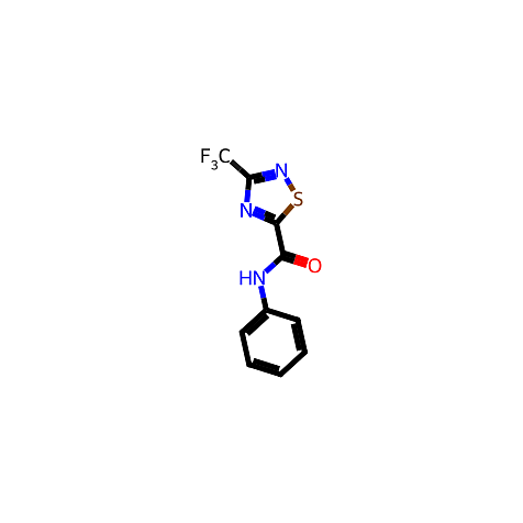 O=C(Nc1ccccc1)c1nc(C(F)(F)F)ns1